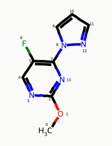 COc1ncc(F)c(-n2cccn2)n1